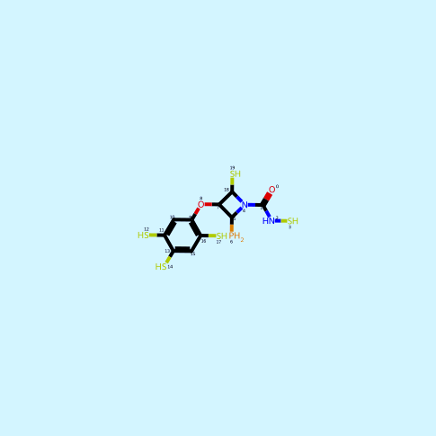 O=C(NS)N1C(P)C(Oc2cc(S)c(S)cc2S)C1S